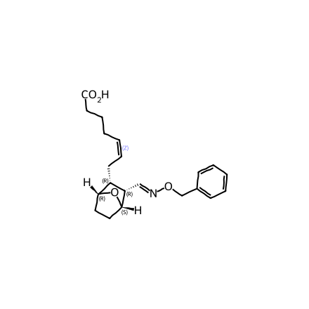 O=C(O)CCC/C=C\C[C@@H]1[C@H](C=NOCc2ccccc2)[C@@H]2CC[C@H]1O2